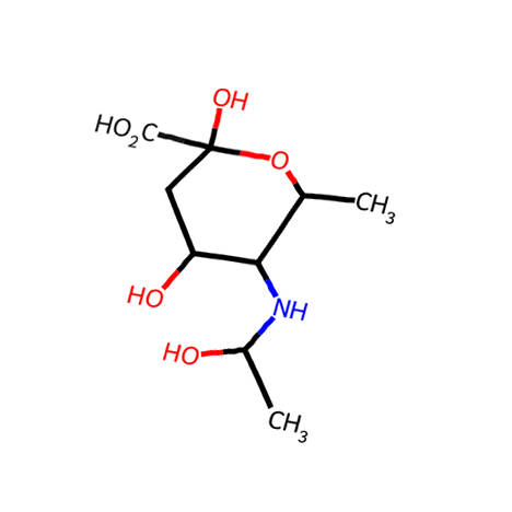 CC(O)NC1C(O)CC(O)(C(=O)O)OC1C